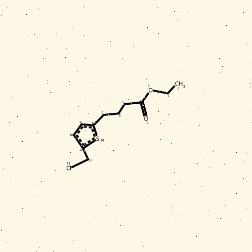 CCOC(=O)CCCc1ccc(CCl)s1